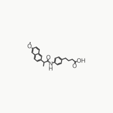 COc1ccc2cc(C(C)C(=O)Nc3ccc(CCCC(=O)O)cc3)ccc2c1